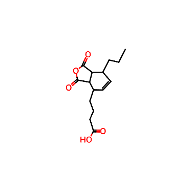 CCCC1C=CC(CCCC(=O)O)C2C(=O)OC(=O)C12